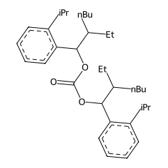 CCCCC(CC)C(OC(=O)OC(c1ccccc1C(C)C)C(CC)CCCC)c1ccccc1C(C)C